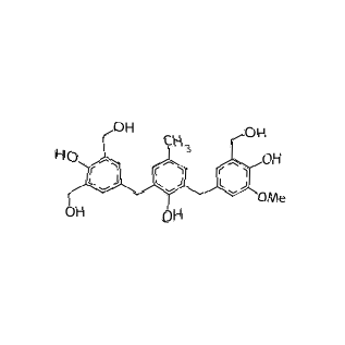 COc1cc(Cc2cc(C)cc(Cc3cc(CO)c(O)c(CO)c3)c2O)cc(CO)c1O